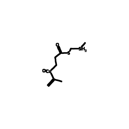 C=[C](C)[Co](=[O])[CH2]CC(=O)SC[SiH2]C